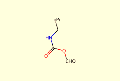 CCCCNC(=O)OC=O